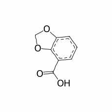 O=C(O)c1cccc2c1OCO2